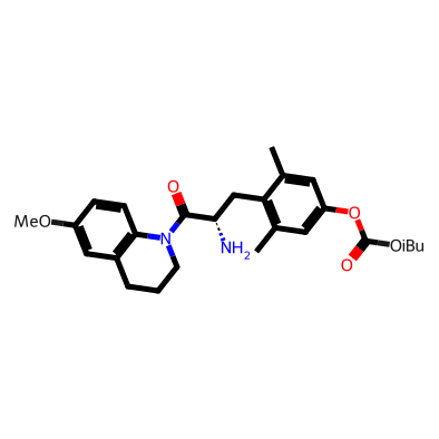 COc1ccc2c(c1)CCCN2C(=O)[C@@H](N)Cc1c(C)cc(OC(=O)OCC(C)C)cc1C